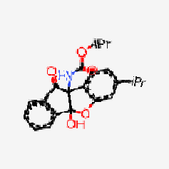 CC(C)OC(=O)NC12C(=O)c3ccccc3C1(O)Oc1cc(C(C)C)ccc12